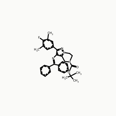 Cc1cc(-c2nn3c(c2N=C(c2ccccc2)c2ccccc2)CN(C(=O)OC(C)(C)C)CC3)cc(C)c1F